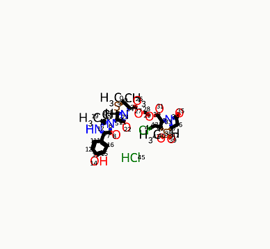 CC1(C)S[C@@H]2C(N3C(=O)C(c4ccc(O)cc4)NC3(C)C)C(=O)N2[C@H]1C(=O)OCOC(=O)C1N2C(=O)C[C@H]2S(=O)(=O)[C@@]1(C)CCl.Cl